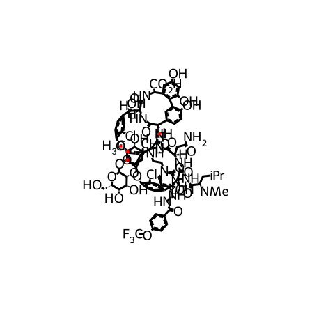 CN[C@@H](CC(C)C)C(=O)N[C@H]1C(=O)N[C@@H](CC(N)=O)C(=O)NC2C(=O)N[C@@H]3C(=O)N[C@@H](C(=O)N[C@@H](C(=O)O)c4cc(O)cc(O)c4-c4cc3ccc4O)[C@H](O)c3ccc(c(Cl)c3)Oc3cc2cc(c3OC2O[C@@H](CO)[C@@H](O)[C@@H](O)[C@H]2O[C@H]2CC(C)(NCCn3ccc(NNC(=O)c4ccc(OC(F)(F)F)cc4)nc3=O)[C@@H](O)C(C)O2)Oc2ccc(cc2Cl)[C@H]1O